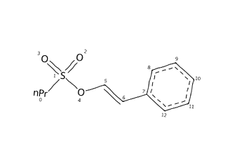 CCCS(=O)(=O)OC=Cc1ccccc1